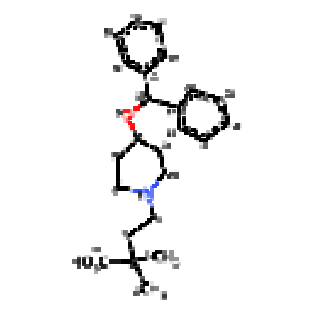 CC(C)(CCN1CCC(OC(c2ccccc2)c2ccccc2)CC1)C(=O)O